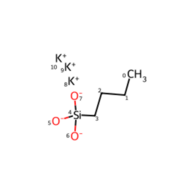 CCCC[Si]([O-])([O-])[O-].[K+].[K+].[K+]